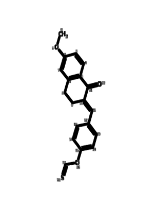 COc1ccc2c(c1)CCC(=Cc1ccc(OC=S)cc1)C2=O